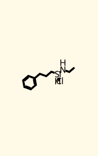 CCN[SiH](Cl)CCCc1ccccc1